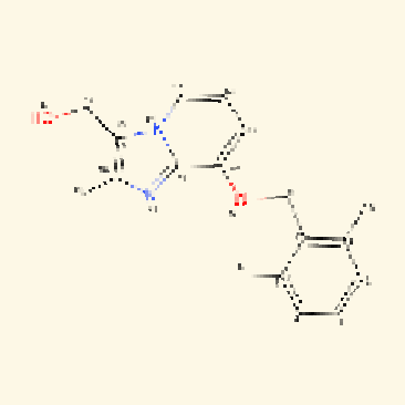 Cc1cccc(C)c1COc1cccn2c(CO)c(C)nc12